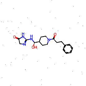 O=C1CN=C(N[C@H](O)C2CCN(C(=O)CCc3ccccc3)CC2)N1